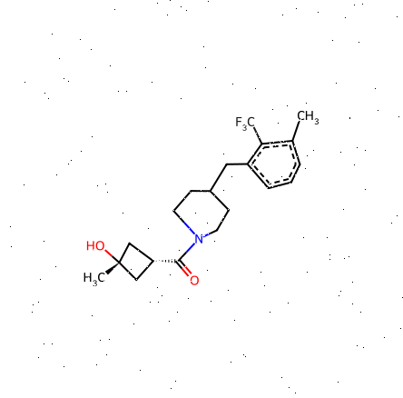 Cc1cccc(CC2CCN(C(=O)[C@H]3C[C@@](C)(O)C3)CC2)c1C(F)(F)F